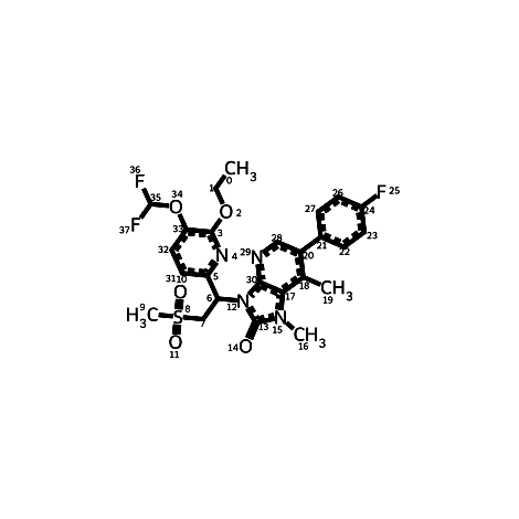 CCOc1nc(C(CS(C)(=O)=O)n2c(=O)n(C)c3c(C)c(-c4ccc(F)cc4)cnc32)ccc1OC(F)F